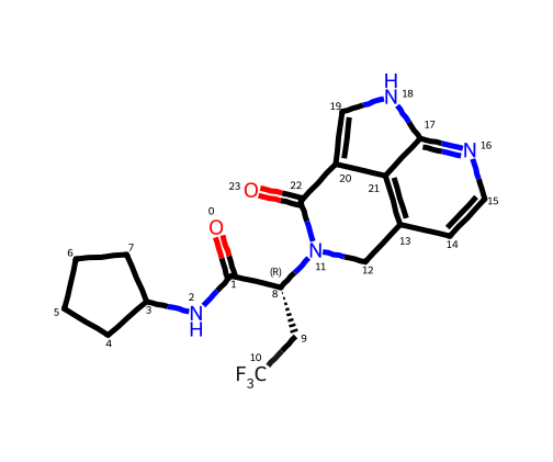 O=C(NC1CCCC1)[C@@H](CC(F)(F)F)N1Cc2ccnc3[nH]cc(c23)C1=O